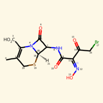 CC1=C(C(=O)O)N2C(=O)C(NC(=O)/C(=N\O)C(=O)CBr)[C@H]2SC1